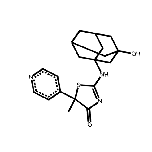 CC1(c2ccncc2)SC(NC23CC4CC(CC(O)(C4)C2)C3)=NC1=O